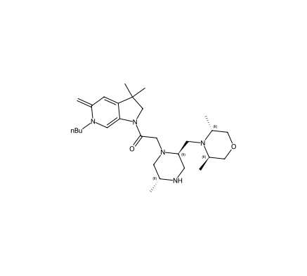 C=C1C=C2C(=CN1CCCC)N(C(=O)CN1C[C@@H](C)NC[C@@H]1CN1[C@H](C)COC[C@H]1C)CC2(C)C